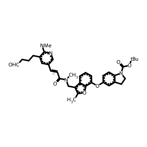 CNc1ncc(/C=C/C(=O)N(C)Cc2c(C)oc3c(Oc4ccc5c(c4)CCN5C(=O)OC(C)(C)C)cccc23)cc1CCCC=O